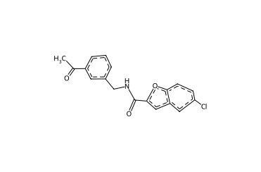 CC(=O)c1cccc(CNC(=O)c2cc3cc(Cl)ccc3o2)c1